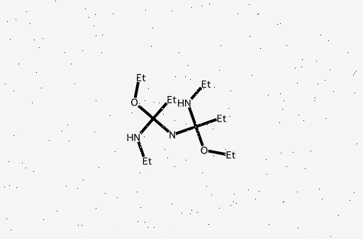 CCNC(CC)([N]C(CC)(NCC)OCC)OCC